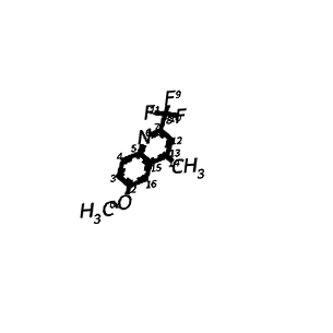 COc1ccc2nc(C(F)(F)F)cc(C)c2c1